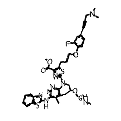 CNCCOC1Cc2c(nnc(Nc3nc4ccccc4s3)c2C)N(c2nc(C(=O)OC)c(CCCOc3ccc(C#CCN(C)C)cc3F)s2)C1